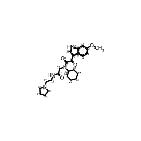 COc1ccc2c(C(=O)C(=O)N(CC(=O)NCCN3CCCC3)C3CCCCC3)c[nH]c2c1